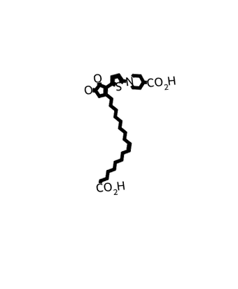 O=C(O)CCCCCCC/C=C\CCCCCCCCC1=C(c2ccc(N3CCC(C(=O)O)CC3)s2)C(=O)C(=O)C1